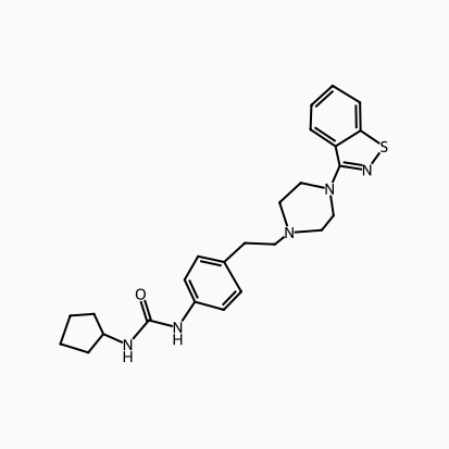 O=C(Nc1ccc(CCN2CCN(c3nsc4ccccc34)CC2)cc1)NC1CCCC1